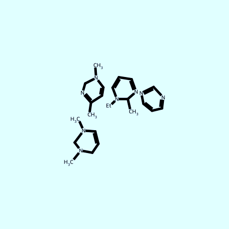 CC1=NCN(C)C=C1.CCN1C=CC=NC1C.CN1C=CCN(C)C1.c1cncnc1